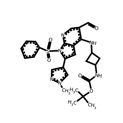 Cn1cc(-c2cc3c(NC4CC(NC(=O)OC(C)(C)C)C4)c(C=O)cnc3n2S(=O)(=O)c2ccccc2)cn1